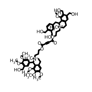 COc1cc(C2c3c(cc(OC)c(OC)c3OC)CC[N+]2(C)CCCOC(=O)C#CC(=O)OCCC[N+]2(C)CCc3cc(CO)c(CO)c(OC)c3C2Cc2ccc(CO)c(CO)c2)cc(CO)c1OC